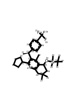 Cc1c2c(nc(C3CCCC3)c1[C@@H](C)c1ccc(C(F)(F)F)cc1)CC(C)(C)CC2O[Si](C)(C)C(C)(C)C